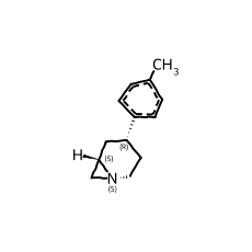 Cc1ccc([C@@H]2CC[N@]3C[C@@H]3C2)cc1